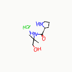 CC(C)(CO)NC(=O)C1CCCN1.Cl